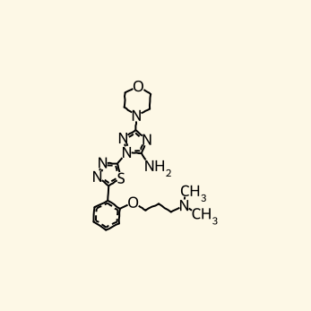 CN(C)CCCOc1ccccc1-c1nnc(-n2nc(N3CCOCC3)nc2N)s1